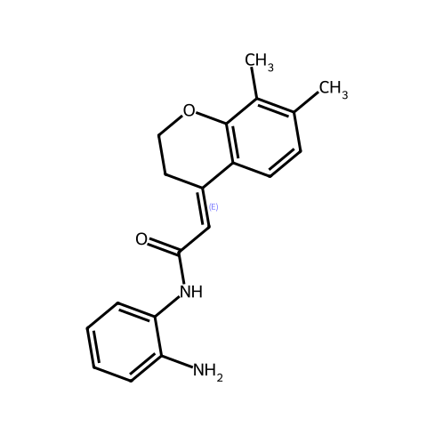 Cc1ccc2c(c1C)OCC/C2=C\C(=O)Nc1ccccc1N